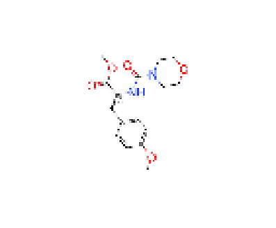 COC(=O)[C@H](Cc1ccc(OC)cc1)NC(=O)N1CCOCC1